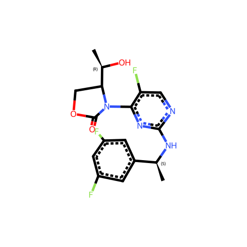 C[C@H](Nc1ncc(F)c(N2C(=O)OCC2[C@@H](C)O)n1)c1cc(F)cc(F)c1